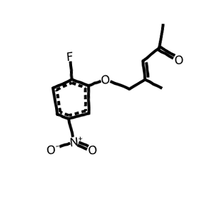 CC(=O)C=C(C)COc1cc([N+](=O)[O-])ccc1F